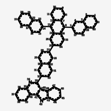 c1ccc2cc(-c3c4ccccc4c(-c4ccc5ccccc5c4)c4cc(-c5ccc6cc(-c7nc8ccccc8c8nc9ccccc9n78)ccc6c5)ccc34)ccc2c1